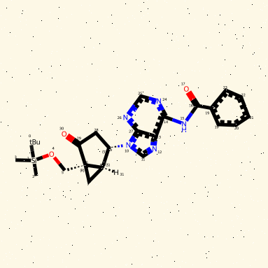 CC(C)(C)[Si](C)(C)OC[C@@]12C[C@@H]1[C@@H](n1cnc3c(NC(=O)c4ccccc4)ncnc31)CC2=O